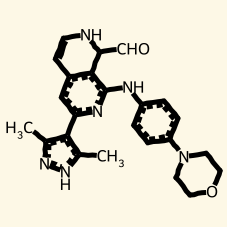 Cc1n[nH]c(C)c1-c1cc2c(c(Nc3ccc(N4CCOCC4)cc3)n1)C(C=O)NC=C2